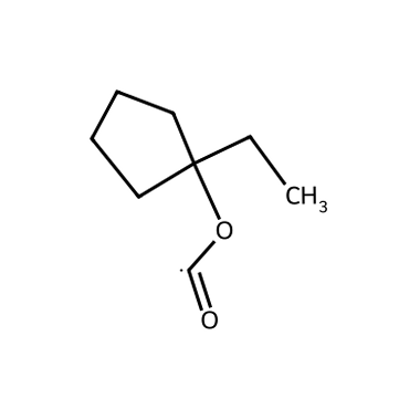 CCC1(O[C]=O)CCCC1